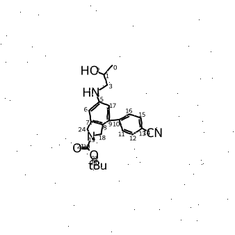 CC(O)CNc1cc2c(c(-c3ccc(C#N)cc3)c1)CN(C(=O)OC(C)(C)C)C2